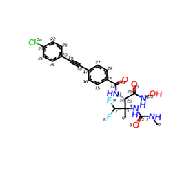 CNC(=O)NC(C)(C(F)F)[C@H](NC(=O)c1ccc(C#Cc2ccc(Cl)cc2)cc1)C(=O)NO